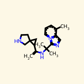 C=C(NC(C)(C)c1ncc2c(C)cccn12)C1CC12CCNC2